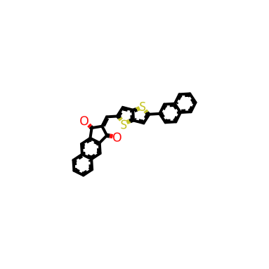 O=C1C(=Cc2cc3sc(-c4ccc5ccccc5c4)cc3s2)C(=O)c2cc3ccccc3cc21